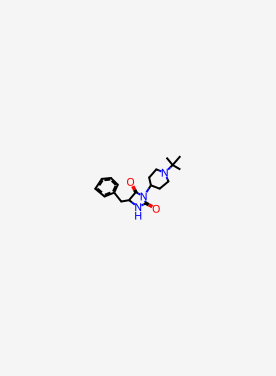 CC(C)(C)N1CCC(N2C(=O)NC(Cc3ccccc3)C2=O)CC1